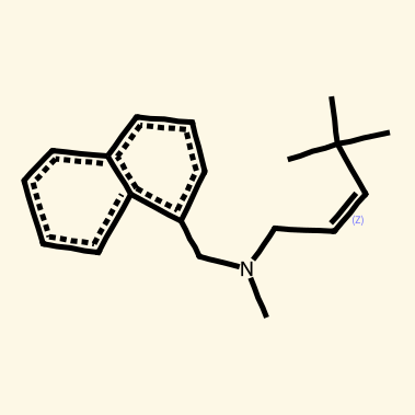 CN(C/C=C\C(C)(C)C)Cc1cccc2ccccc12